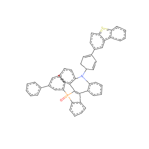 O=P1(c2cccc(-c3ccccc3)c2)C2=C(c3ccccc3N(C3C=CC(c4ccc5sc6ccccc6c5c4)=CC3)c3ccccc32)c2ccccc21